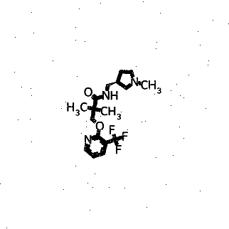 CN1CC[C@H](CNC(=O)C(C)(C)COc2ncccc2C(F)(F)F)C1